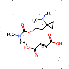 CN(C)C(=O)OCCC1(N(C)C)CC1.O=C(O)/C=C/C(=O)O